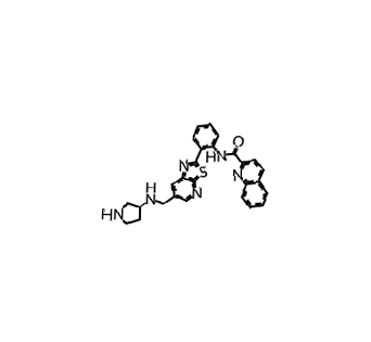 O=C(Nc1ccccc1-c1nc2cc(CNC3CCNC3)cnc2s1)c1ccc2ccccc2n1